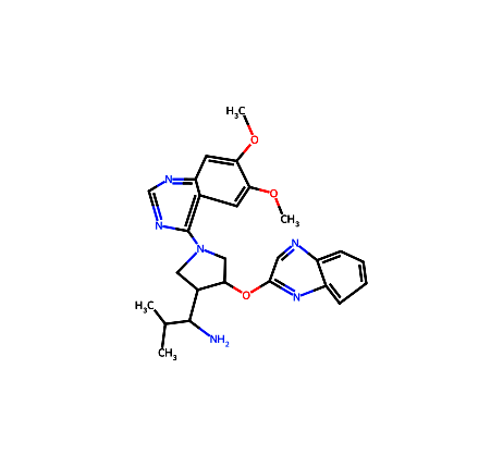 COc1cc2ncnc(N3CC(Oc4cnc5ccccc5n4)C(C(N)C(C)C)C3)c2cc1OC